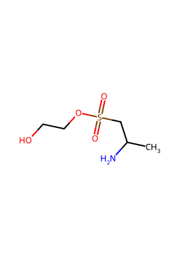 CC(N)CS(=O)(=O)OCCO